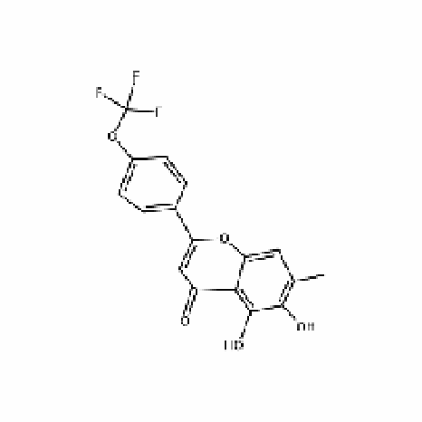 Cc1cc2oc(-c3ccc(OC(F)(F)F)cc3)cc(=O)c2c(O)c1O